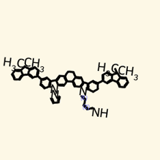 CC1(C)c2ccccc2-c2cc(C3=Cc4c(n(/C=C/C=C\C=N)c5cc6c(cc45)CCc4cc5c7cc(-c8ccc9c(c8)-c8ccccc8C9(C)C)ccc7n(-n7cccc7)c5cc4-6)CC3)ccc21